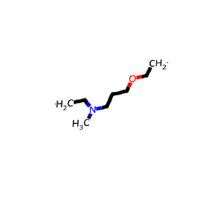 [CH2]COCCCN(C)C[CH2]